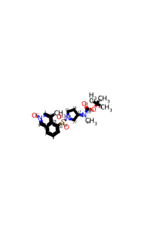 Cc1c[n+]([O-])cc2cccc(S(=O)(=O)N3CCC(N(C)C(=O)OC(C)(C)C)C3)c12